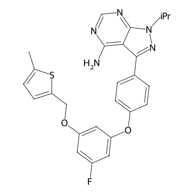 Cc1ccc(COc2cc(F)cc(Oc3ccc(-c4nn(C(C)C)c5ncnc(N)c45)cc3)c2)s1